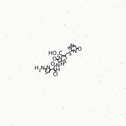 Cn1ncc(=O)nc1SCC1=C(C(=O)O)N2C(=O)C(NC(=O)C(=CCl)c3csc(N)n3)[C@@H]2SC1